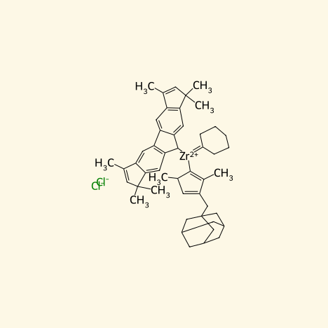 CC1=CC(C)(C)c2cc3c(cc21)-c1cc2c(cc1[CH]3[Zr+2]([C]1=C(C)C(CC34CC5CC(CC(C5)C3)C4)=CC1C)=[C]1CCCCC1)C(C)(C)C=C2C.[Cl-].[Cl-]